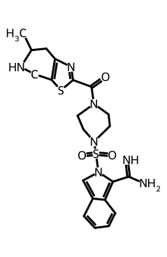 CC1Cc2nc(C(=O)N3CCN(S(=O)(=O)n4cc5ccccc5c4C(=N)N)CC3)sc2CN1